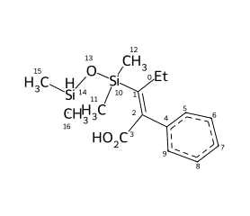 CC/C(=C(/C(=O)O)c1ccccc1)[Si](C)(C)O[SiH](C)C